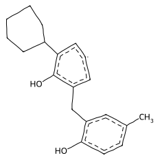 Cc1ccc(O)c(Cc2c[c]cc(C3CCCCC3)c2O)c1